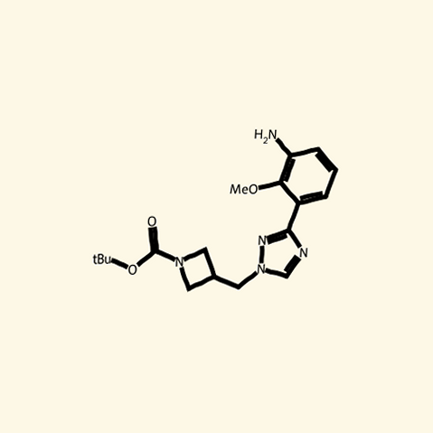 COc1c(N)cccc1-c1ncn(CC2CN(C(=O)OC(C)(C)C)C2)n1